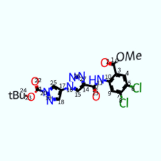 COC(=O)c1cc(Cl)c(Cl)cc1NC(=O)c1cn(-c2cnn(C(=O)OC(C)(C)C)c2)nn1